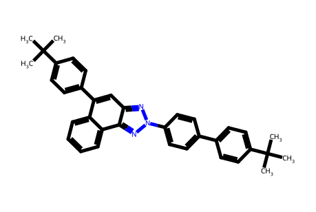 CC(C)(C)c1ccc(-c2ccc(-n3nc4cc(-c5ccc(C(C)(C)C)cc5)c5ccccc5c4n3)cc2)cc1